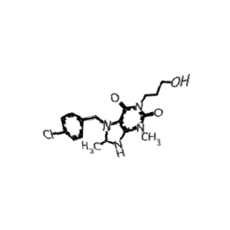 CC1Nc2c(c(=O)n(CCCO)c(=O)n2C)N1Cc1ccc(Cl)cc1